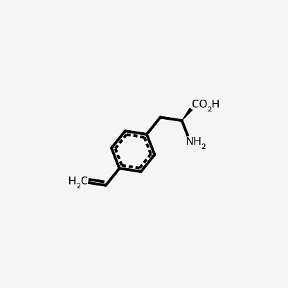 C=Cc1ccc(C[C@H](N)C(=O)O)cc1